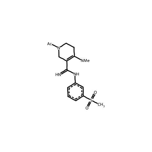 CNC1=C(C(=N)Nc2cccc(S(C)(=O)=O)c2)CN(C(C)=O)CC1